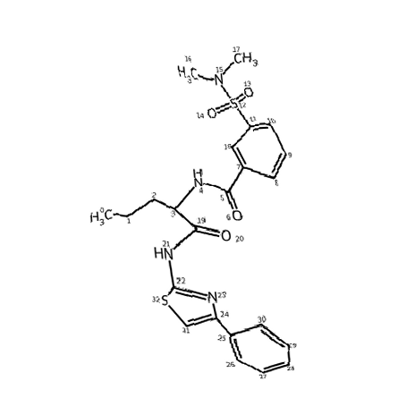 CCCC(NC(=O)c1cccc(S(=O)(=O)N(C)C)c1)C(=O)Nc1nc(-c2ccccc2)cs1